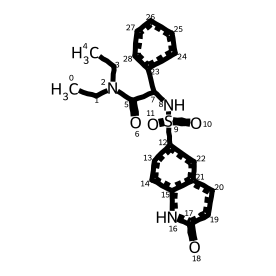 CCN(CC)C(=O)C(NS(=O)(=O)c1ccc2[nH]c(=O)ccc2c1)c1ccccc1